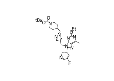 CCOc1nc(C)c2nc(-c3cncc(F)c3)n(Cc3cnn(CC4CCN(C(=O)OC(C)(C)C)CC4)c3)c2n1